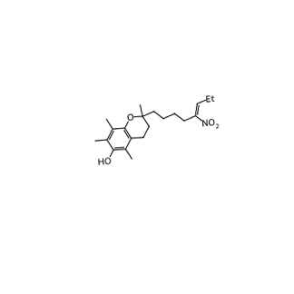 CCC=C(CCCCC1(C)CCc2c(C)c(O)c(C)c(C)c2O1)[N+](=O)[O-]